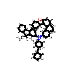 CC1(C)c2ccccc2-c2ccc(N(c3ccc(-c4ccccc4)cc3)c3ccc4ccc5ccc6oc7ccccc7c6c5c4c3)cc21